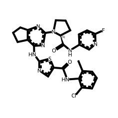 Cc1cccc(Cl)c1NC(=O)c1cnc(Nc2nc(N3CCC[C@H]3C(=O)Nc3ccc(F)nc3)nc3c2CCC3)s1